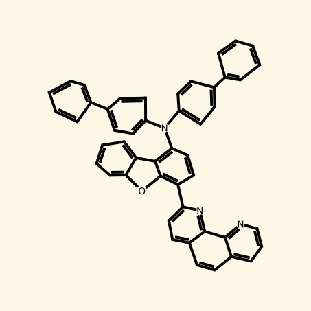 c1ccc(-c2ccc(N(c3ccc(-c4ccccc4)cc3)c3ccc(-c4ccc5ccc6cccnc6c5n4)c4oc5ccccc5c34)cc2)cc1